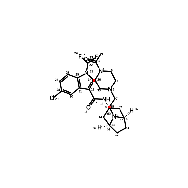 CC(=O)N1CCN(CCN2[C@@H]3CC[C@H]2C[C@H](NC(=O)c2nn(C(F)F)c4ccc(Cl)cc24)C3)CC1